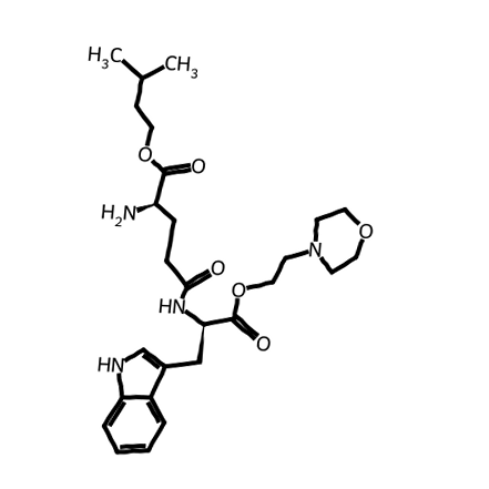 CC(C)CCOC(=O)[C@H](N)CCC(=O)N[C@H](Cc1c[nH]c2ccccc12)C(=O)OCCN1CCOCC1